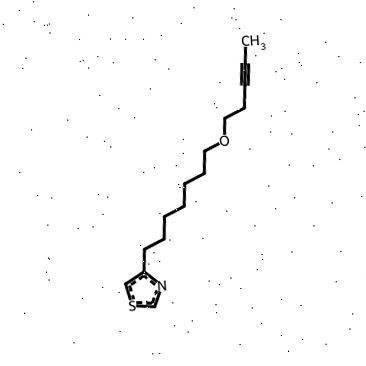 CC#CCCOCCCCCCCc1cscn1